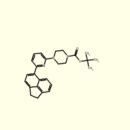 CC(C)(C)OC(=O)N1CCN(c2cccc(-c3ccc4c5c(cccc35)CC4)n2)CC1